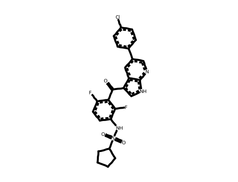 O=C(c1c(F)ccc(NS(=O)(=O)C2CCCC2)c1F)c1c[nH]c2ncc(-c3ccc(Cl)cc3)cc12